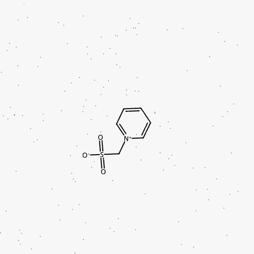 O=S(=O)([O-])C[n+]1ccccc1